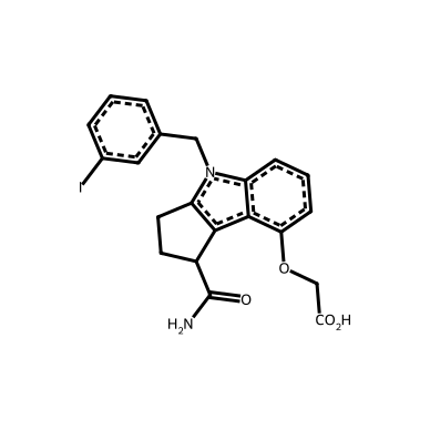 NC(=O)C1CCc2c1c1c(OCC(=O)O)cccc1n2Cc1cccc(I)c1